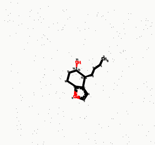 CCCC[C@H]1c2ccoc2CC[C@@H]1O